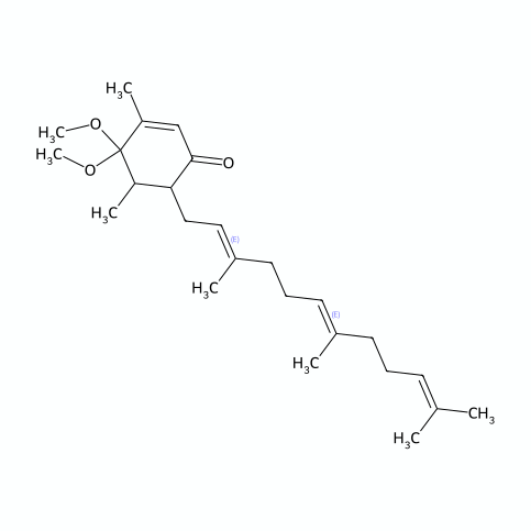 COC1(OC)C(C)=CC(=O)C(C/C=C(\C)CC/C=C(\C)CCC=C(C)C)C1C